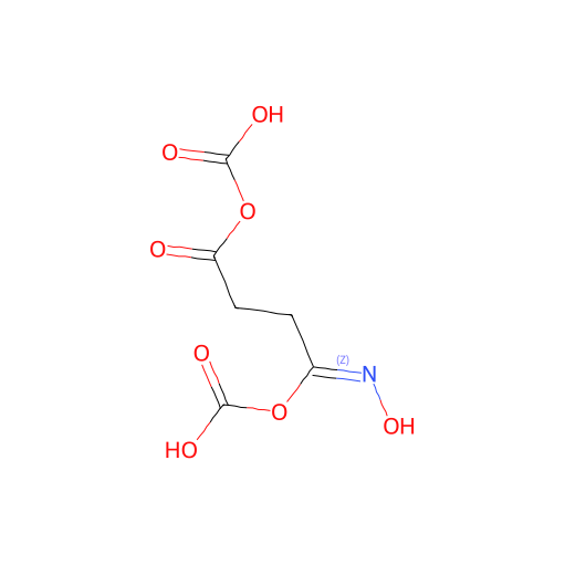 O=C(O)OC(=O)CC/C(=N/O)OC(=O)O